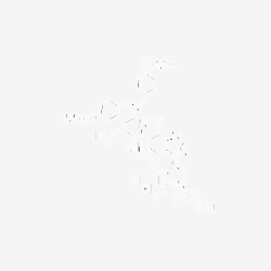 COc1ccc(CN(Cc2ccc(OC)cc2)c2cc(C)c(C(F)(F)F)c(-c3c(Cl)c4c5c(ncnc5c3F)N3CCN(C(=O)OC(C)(C)C)[C@@H](C)[C@H]3[C@H](C)O4)n2)cc1